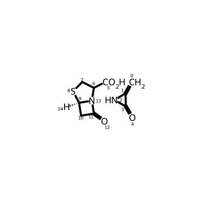 C=C1NC1=O.O=C(O)C1CS[C@@H]2CC(=O)N12